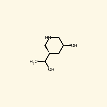 C[C@H](O)[C@H]1CNC[C@@H](O)C1